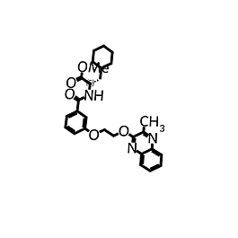 COC(=O)[C@H](CC1CCCCC1)NC(=O)c1cccc(OCCOc2nc3ccccc3nc2C)c1